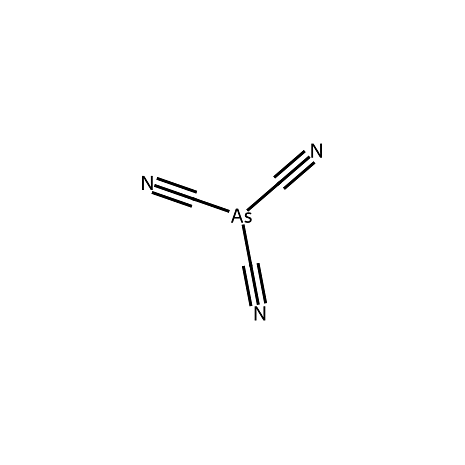 N#C[As](C#N)C#N